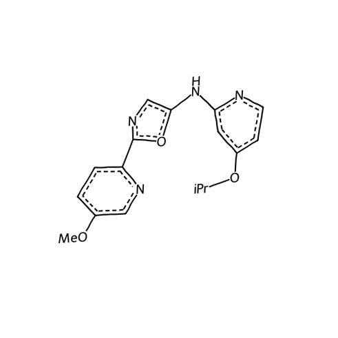 COc1ccc(-c2ncc(Nc3cc(OC(C)C)ccn3)o2)nc1